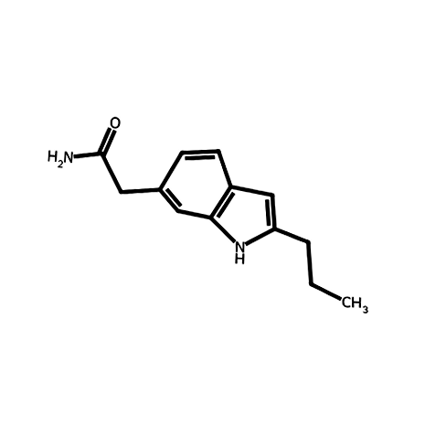 CCCc1cc2ccc(CC(N)=O)cc2[nH]1